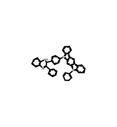 C1=CC(n2c3ccccc3c3cc4c5ccccc5n(-c5ccc(C6Nc7ccccc7N=C6c6ccccc6)cc5)c4cc32)=CCC1